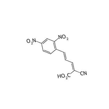 N#CC(=CC=Cc1ccc([N+](=O)[O-])cc1[N+](=O)[O-])C(=O)O